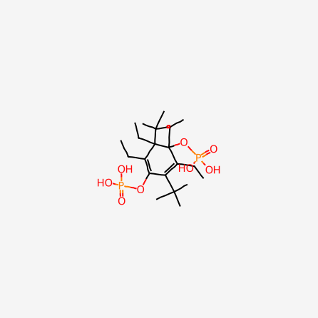 CCC1=C(C(C)(C)C)C(OP(=O)(O)O)=C(CC)C(CC)(C(C)(C)C)C1(CC)OP(=O)(O)O